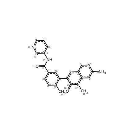 Cc1cc2c(cn1)cc(-c1cc(C(=O)Nc3cccnn3)ccc1C)c(=O)n2C